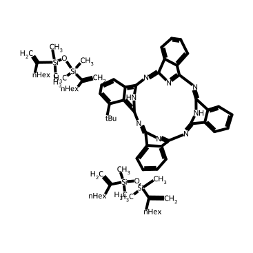 C=C(CCCCCC)[Si](C)(C)O[Si](C)(C)C(=C)CCCCCC.C=C(CCCCCC)[Si](C)(C)O[Si](C)(C)C(=C)CCCCCC.CC(C)(C)c1cccc2c3nc4nc(nc5[nH]c(nc6nc(nc([nH]3)c12)-c1ccccc1-6)c1ccccc51)-c1ccccc1-4